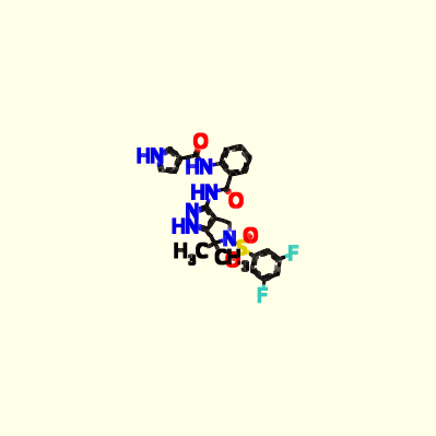 CC1(C)c2[nH]nc(NC(=O)c3ccccc3NC(=O)c3cc[nH]c3)c2CN1S(=O)(=O)c1cc(F)cc(F)c1